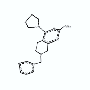 CSc1nc2c(c(N3C[CH]CC3)n1)CCN(Cc1ccccc1)C2